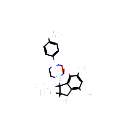 COc1ccc(N2CCN(C3(NC(C)=O)c4c(O)c(C)cc(C)c4CC3(C)C)CC2)cc1